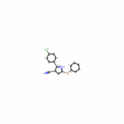 N#Cc1cc(Sc2ccccc2)[nH]c1-c1ccc(Cl)cc1